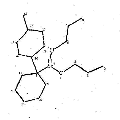 CCCO[SiH](OCCC)C1(C2CCC(C)CC2)CCCCC1